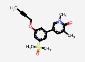 CC#CCOc1cc(-c2cc(C)c(=O)n(C)c2)cc([SH](C)(C)=O)c1